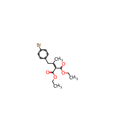 CCOC(=O)C(C(=O)OCC)=C(C)Cc1ccc(Br)cc1